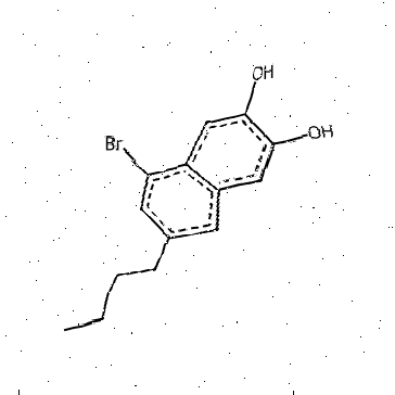 CCCCc1cc(Br)c2cc(O)c(O)cc2c1